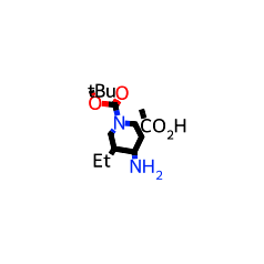 CC(=O)O.CCC1CN(C(=O)OC(C)(C)C)CCC1N